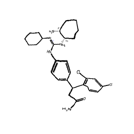 NC(=O)CC(c1ccc(N/C(=N\C2CCCCC2)N[C@H]2CCCC[C@H]2N)cc1)c1ccc(Cl)cc1Cl